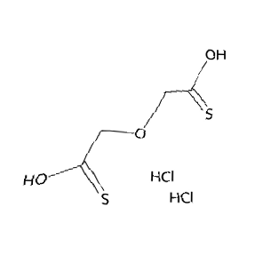 Cl.Cl.OC(=S)COCC(O)=S